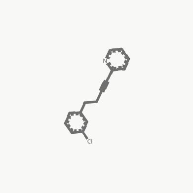 Clc1cccc(CCC#Cc2ccccn2)c1